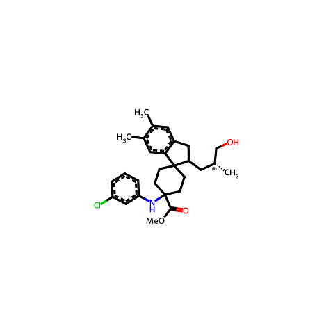 COC(=O)C1(Nc2cccc(Cl)c2)CCC2(CC1)c1cc(C)c(C)cc1CC2C[C@@H](C)CO